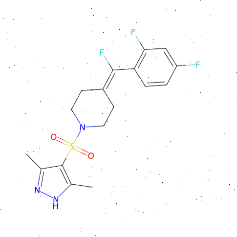 Cc1n[nH]c(C)c1S(=O)(=O)N1CCC(=C(F)c2ccc(F)cc2F)CC1